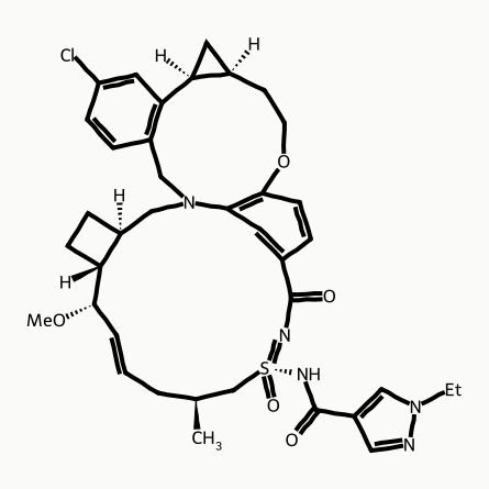 CCn1cc(C(=O)N[S@@]2(=O)=NC(=O)c3ccc4c(c3)N(Cc3ccc(Cl)cc3[C@H]3C[C@H]3CCO4)C[C@@H]3CC[C@H]3[C@@H](OC)/C=C/C[C@H](C)C2)cn1